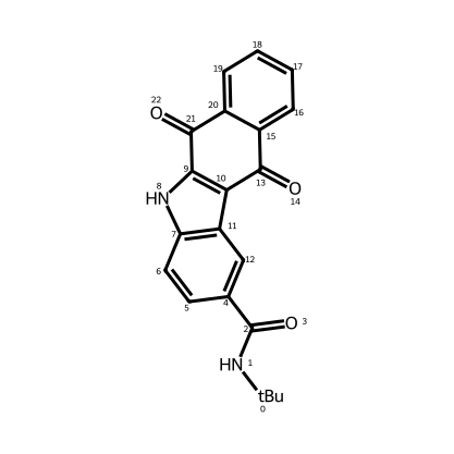 CC(C)(C)NC(=O)c1ccc2[nH]c3c(c2c1)C(=O)c1ccccc1C3=O